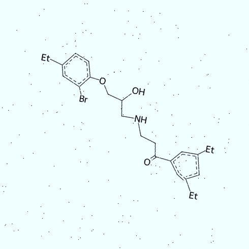 CCc1cc(CC)cc(C(=O)CCNCC(O)COc2ccc(CC)cc2Br)c1